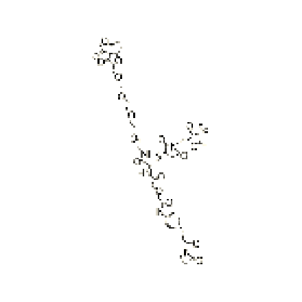 CC(=O)C1(C(=O)CCN2C(=O)CC(SC[C@H](NC(=O)COCC(=O)Nc3ccc(CCC(=O)N4CCC4=O)cc3)C(=O)NCCOCCOCCOCCOCCC(=O)C(C(C)=O)(C(C)=O)C(C)=O)C2=O)SS1